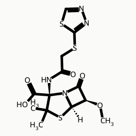 CO[C@@H]1C(=O)N2[C@@H]1SC(C)(C)[C@]2(NC(=O)CSc1nncs1)C(=O)O